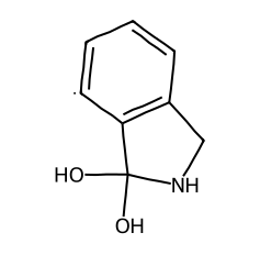 OC1(O)NCc2ccc[c]c21